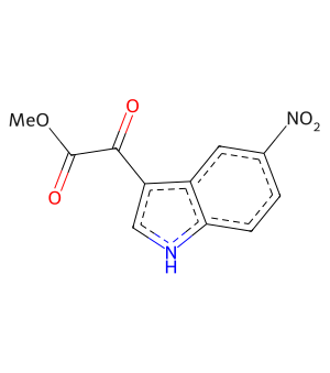 COC(=O)C(=O)c1c[nH]c2ccc([N+](=O)[O-])cc12